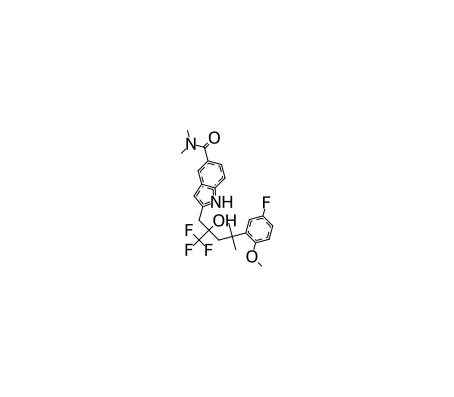 COc1ccc(F)cc1C(C)(C)CC(O)(Cc1cc2cc(C(=O)N(C)C)ccc2[nH]1)C(F)(F)F